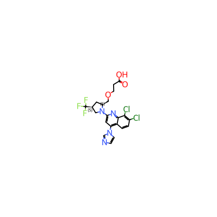 O=C(O)CCOC[C@@H]1C[C@H](C(F)(F)F)CN1c1cc(-n2ccnc2)c2ccc(Cl)c(Cl)c2n1